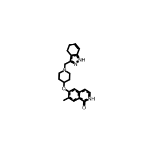 Cc1cc2c(=O)[nH]ccc2cc1OC1CCN(Cc2n[nH]c3c2CCC=C3)CC1